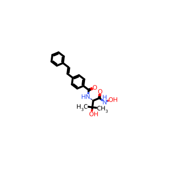 CC(C)(O)[C@H](NC(=O)c1ccc(/C=C/c2ccccc2)cc1)C(=O)NO